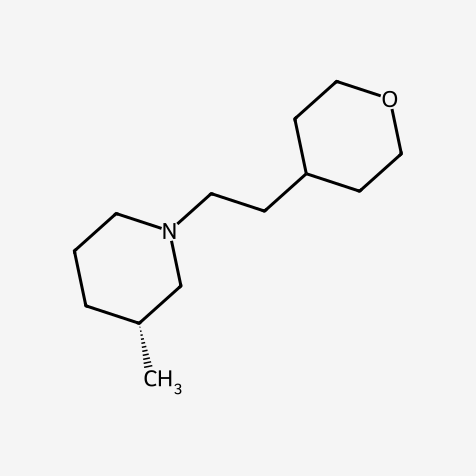 C[C@@H]1CCCN(CCC2CCOCC2)C1